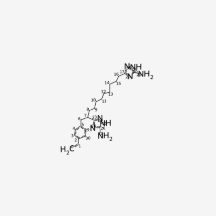 C=Cc1ccc(CC(CCCCCCCCCc2n[nH]c(N)n2)c2n[nH]c(N)n2)cc1